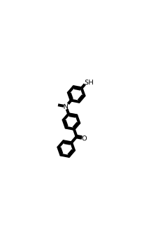 CN(c1ccc(S)cc1)c1ccc(C(=O)c2ccccc2)cc1